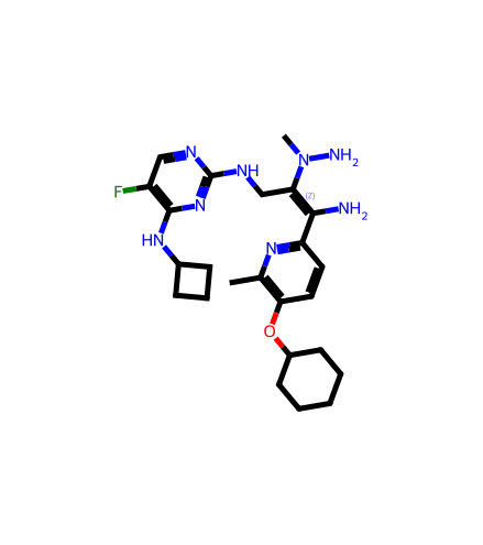 Cc1nc(/C(N)=C(\CNc2ncc(F)c(NC3CCC3)n2)N(C)N)ccc1OC1CCCCC1